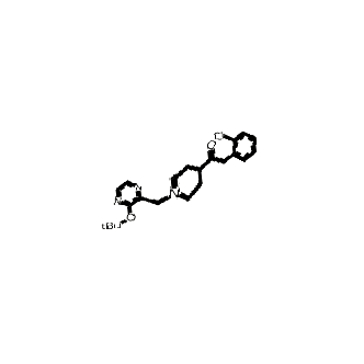 CC(C)(C)Oc1nccnc1CN1CCC(C(=O)Cc2ccccc2Cl)CC1